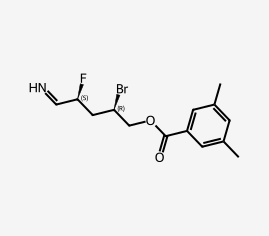 Cc1cc(C)cc(C(=O)OC[C@H](Br)C[C@H](F)C=N)c1